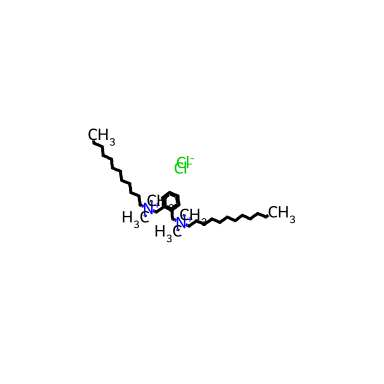 CCCCCCCCCCCC[N+](C)(C)Cc1ccccc1C[N+](C)(C)CCCCCCCCCCCC.[Cl-].[Cl-]